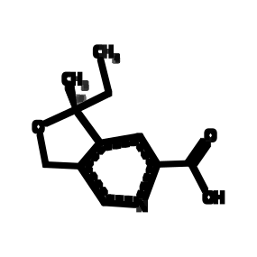 CC[C@@]1(C)OCc2cnc(C(=O)O)cc21